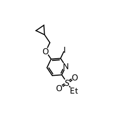 CCS(=O)(=O)c1ccc(OCC2CC2)c(I)n1